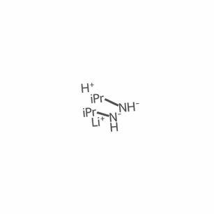 CC(C)[NH-].CC(C)[NH-].[H+].[Li+]